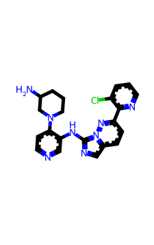 NC1CCCN(c2ccncc2Nc2ncc3ccc(-c4ncccc4Cl)nn23)C1